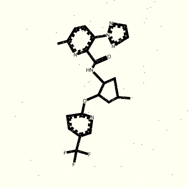 Cc1ccc(-n2nccn2)c(C(=O)NC2CC(C)CC2Oc2ccc(C(F)(F)F)cn2)n1